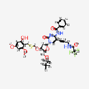 COc1cc(O)c(CSCOC2C[C@H](n3cc(C#CCNC(=O)C(F)(F)F)c(NC(=O)c4ccccc4)nc3=O)O[C@@H]2CO[Si](C)(C)C(C)(C)C)c(OC)c1